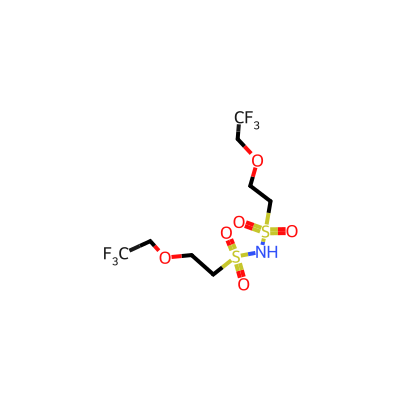 O=S(=O)(CCOCC(F)(F)F)NS(=O)(=O)CCOCC(F)(F)F